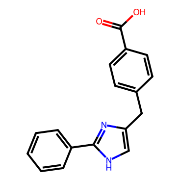 O=C(O)c1ccc(Cc2c[nH]c(-c3ccccc3)n2)cc1